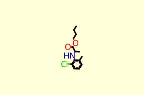 CCCCOC(=O)C(C)Nc1c(C)cccc1Cl